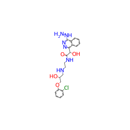 NNc1nnc(C(O)C(=O)NCCNCC(O)COc2ccccc2Cl)c2ccccc12